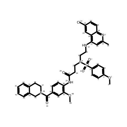 COc1ccc(S(=O)(=O)N(CCNc2cc(C)nc3ccc(Cl)cc23)CCC(=O)Nc2ccc(C(=O)N3CCc4ccccc4C3)cc2OC)cc1